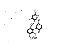 COc1ccc(SCc2cnc(Br)cc2C)c(-c2cc(F)ccc2F)c1F